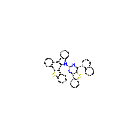 c1ccc2c(-c3nc(-n4c5ccccc5c5c6ccccc6c6sc7ccccc7c6c54)nc4c3sc3ccccc34)cccc2c1